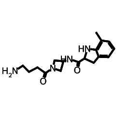 Cc1cccc2c1NC(C(=O)NC1CN(C(=O)CCCN)C1)C2